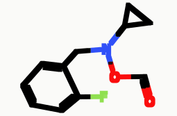 O=CON(Cc1ccccc1F)C1CC1